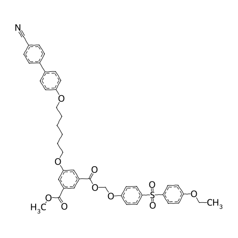 CCOc1ccc(S(=O)(=O)c2ccc(OCOC(=O)c3cc(OCCCCCCOc4ccc(-c5ccc(C#N)cc5)cc4)cc(C(=O)OC)c3)cc2)cc1